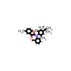 Cc1ccc2oc3c(c2c1)OCc1ccccc1N3c1c(C)cc(C(C)(C)C)cc1C